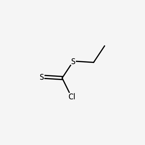 CCSC(=S)Cl